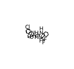 COc1ccc(Cl)cc1NC(=O)C(C)CCNC1=C(C(=N)C(F)(F)F)CCCC1